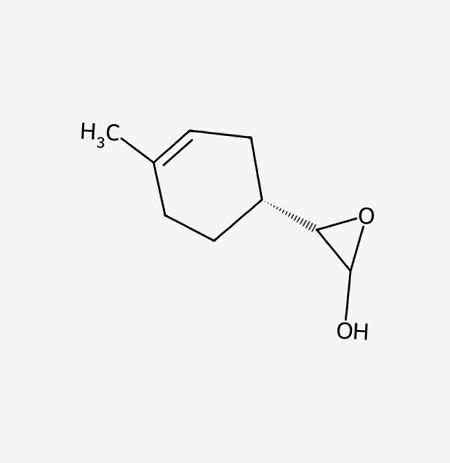 CC1=CC[C@H](C2OC2O)CC1